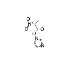 CC(C(=O)On1ccnc1)[N+](=O)[O-]